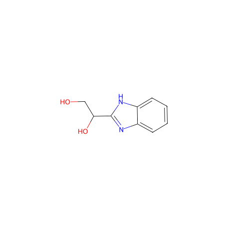 OCC(O)c1nc2ccccc2[nH]1